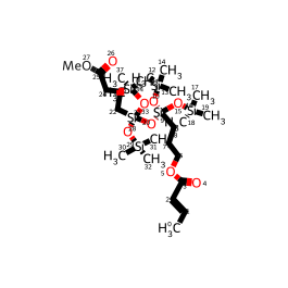 CC=CC(=O)OCCC[Si](O[Si](C)(C)C)(O[Si](C)(C)C)O[Si](CCCC(=O)OC)(O[Si](C)(C)C)O[Si](C)(C)C